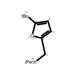 CCCC(C)Cc1ccc(C(C)(C)C)o1